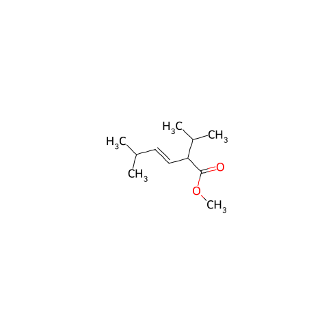 COC(=O)C(C=CC(C)C)C(C)C